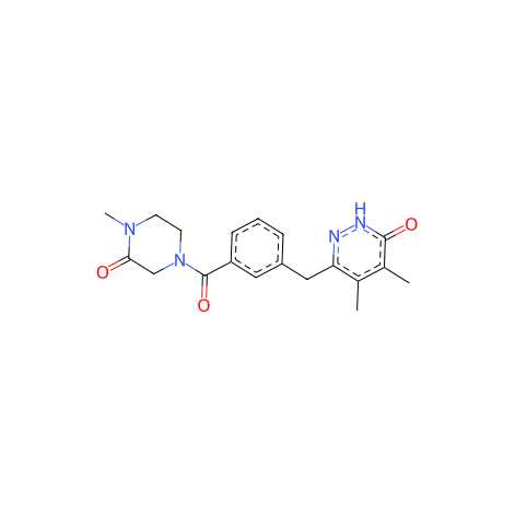 Cc1c(Cc2cccc(C(=O)N3CCN(C)C(=O)C3)c2)n[nH]c(=O)c1C